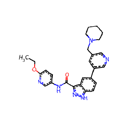 CCOc1ccc(NC(=O)c2n[nH]c3ccc(-c4cncc(CN5CCCCC5)c4)cc23)cn1